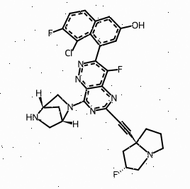 Oc1cc(-c2nnc3c(N4C[C@@H]5C[C@H]4CN5)nc(C#C[C@@]45CCCN4C[C@H](F)C5)nc3c2F)c2c(Cl)c(F)ccc2c1